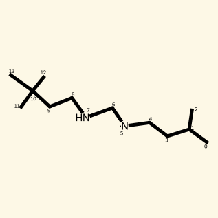 CC(C)CC[N]CNCCC(C)(C)C